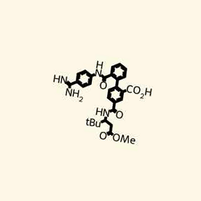 COC(=O)CC(NC(=O)c1ccc(-c2ccccc2C(=O)Nc2ccc(C(=N)N)cc2)c(C(=O)O)c1)C(C)(C)C